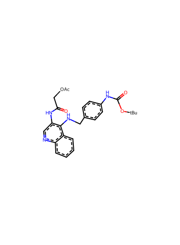 CC(=O)OCC(=O)Nc1cnc2ccccc2c1NCc1ccc(NC(=O)OC(C)(C)C)cc1